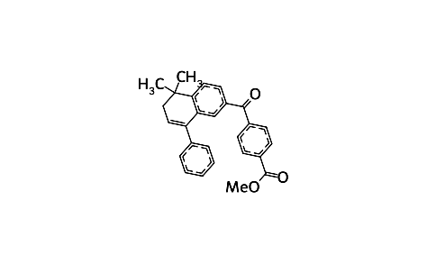 COC(=O)c1ccc(C(=O)c2ccc3c(c2)C(c2ccccc2)=CCC3(C)C)cc1